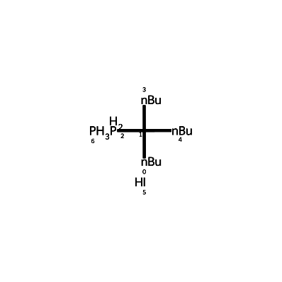 CCCCC(P)(CCCC)CCCC.I.P